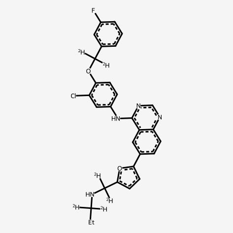 [2H]C([2H])(CC)NC([2H])([2H])c1ccc(-c2ccc3ncnc(Nc4ccc(OC([2H])([2H])c5cccc(F)c5)c(Cl)c4)c3c2)o1